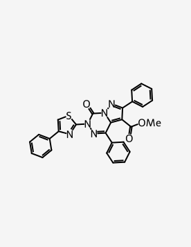 COC(=O)c1c(-c2ccccc2)nn2c(=O)n(-c3nc(-c4ccccc4)cs3)nc(-c3ccccc3)c12